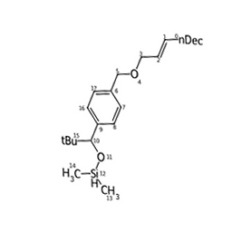 CCCCCCCCCCC=CCOCc1ccc(C(O[SiH](C)C)C(C)(C)C)cc1